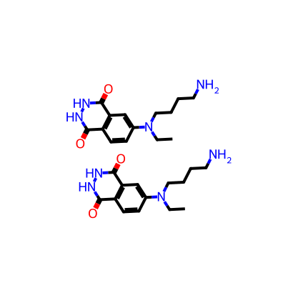 CCN(CCCCN)c1ccc2c(=O)[nH][nH]c(=O)c2c1.CCN(CCCCN)c1ccc2c(=O)[nH][nH]c(=O)c2c1